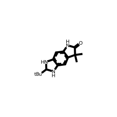 CC1(C)C(=O)Nc2cc3c(cc21)NC(C(C)(C)C)N3